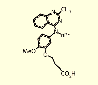 CCCN(c1ccc(OC)c(OCCCC(=O)O)c1)c1nc(C)nc2ccccc12